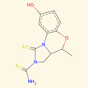 CC1Oc2ccc(O)cc2N2C(=S)N(C(N)=S)CC12